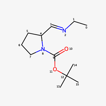 CCN=CC1CCCN1C(=O)OC(C)(C)C